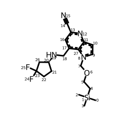 C[Si](C)(C)CCOCn1ccc2nc(C#N)cc(CN[C@H]3CCC(F)(F)C3)c21